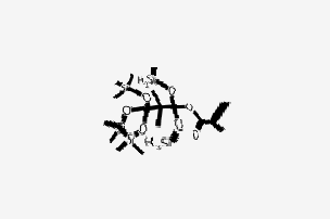 C=C(C)C(=O)OC(O[SiH3])(O[SiH2]C)C(C)(C)C(O[Si](C)(C)C)(O[Si](C)(C)C)O[Si](C)(C)C